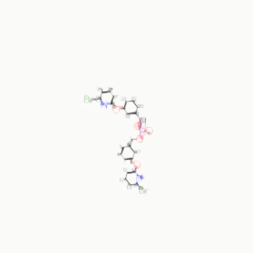 O=[PH](OCc1cccc(Oc2cccc(Br)n2)c1)OCc1cccc(Oc2cccc(Br)n2)c1